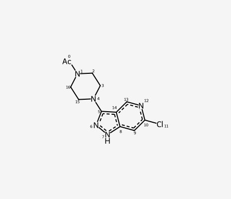 CC(=O)N1CCN(c2n[nH]c3cc(Cl)ncc23)CC1